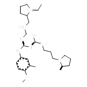 CCN1CCCC1CNC/N=C(\N=C(/N)NCCCN1CCCC1=O)Nc1ccc(OC)c(F)c1